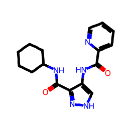 O=C(Nc1c[nH]nc1C(=O)NC1CCCCC1)c1ccccn1